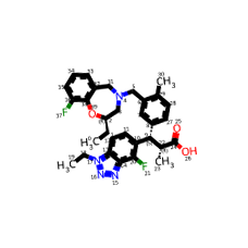 CC[C@@H]1CN(Cc2cc([C@@H](c3ccc4c(nnn4CC)c3F)[C@@H](C)C(=O)O)ccc2C)Cc2cccc(F)c2O1